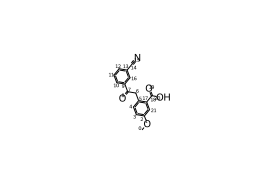 COc1ccc(CC(=O)c2cccc(C#N)c2)c(C(=O)O)c1